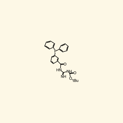 CC(C)(C)OC(=O)NC(=N)NC(=O)c1cccc(P(c2ccccc2)c2ccccc2)c1